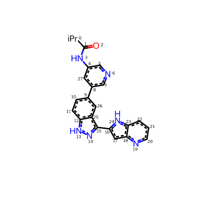 CC(C)C(=O)Nc1cncc(-c2ccc3[nH]nc(-c4cc5ncccc5[nH]4)c3c2)c1